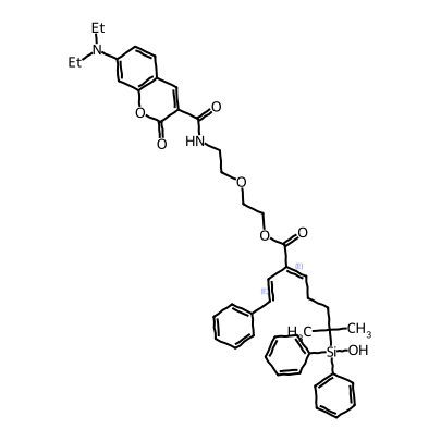 CCN(CC)c1ccc2cc(C(=O)NCCOCCOC(=O)C(/C=C/c3ccccc3)=C/CCC(C)(C)[Si](O)(c3ccccc3)c3ccccc3)c(=O)oc2c1